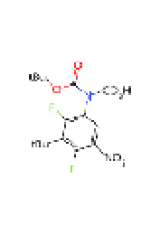 CC(C)(C)OC(=O)N(C(=O)O)c1cc([N+](=O)[O-])c(F)c(C(C)(C)C)c1F